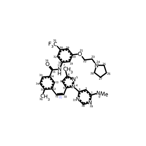 CNc1cc(-n2nc(C)cc2/C=C\c2cc(C(=O)Nc3cc(OCCN4CCCC4)cc(C(F)(F)F)c3)ccc2C)ncn1